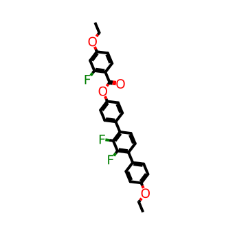 CCOc1ccc(-c2ccc(-c3ccc(OC(=O)c4ccc(OCC)cc4F)cc3)c(F)c2F)cc1